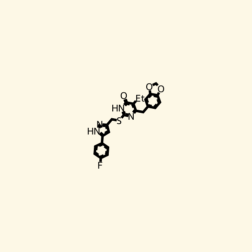 CCc1c(Cc2ccc3c(c2)OCO3)nc(SCc2cc(-c3ccc(F)cc3)[nH]n2)[nH]c1=O